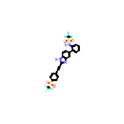 O=S(=O)(Nc1ccccc1-c1ccc2[nH]c(C#Cc3ccc(S(=O)(=O)C(F)(F)F)cc3)nc2c1)C(F)(F)F